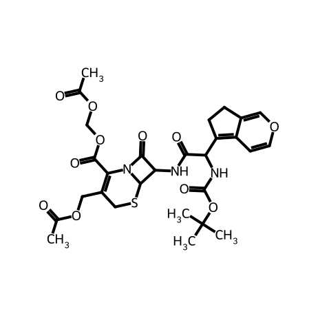 CC(=O)OCOC(=O)C1=C(COC(C)=O)CSC2C(NC(=O)C(NC(=O)OC(C)(C)C)C3=C4C=COC=C4CC3)C(=O)N12